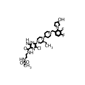 CC[C@H]1CN(c2nc(N)c(C(=O)NCCNS(C)(=O)=O)nc2Cl)CCN1C1CCN(Cc2ccc(F)c(F)c2N2CC[C@@H](O)C2)CC1